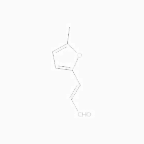 Cc1ccc(/C=C/C=O)o1